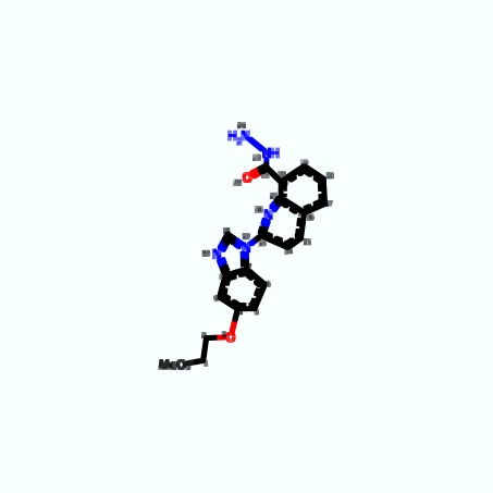 COCCOc1ccc2c(c1)ncn2-c1ccc2cccc(C(=O)NN)c2n1